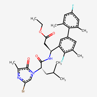 CCOC(=O)C[C@H](NC(=O)[C@H](CC(C)C)n1cc(Br)nc(C)c1=O)c1cc(-c2c(C)cc(F)cc2C)cc(C)c1F